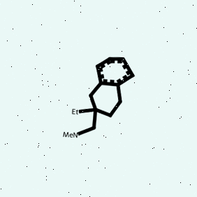 CCC1(CNC)CCc2ccccc2C1